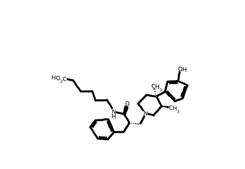 C[C@H]1CN(C[C@H](Cc2ccccc2)C(=O)NCCCCCC(=O)O)CC[C@@]1(C)c1cccc(O)c1